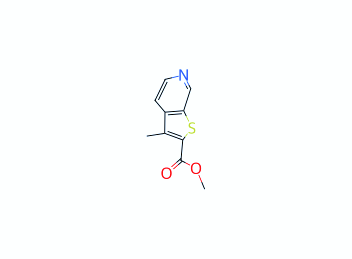 COC(=O)c1sc2cnccc2c1C